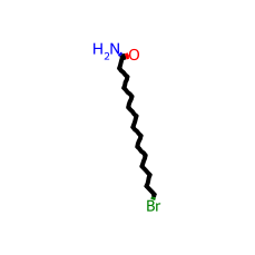 NC(=O)CCCCCCCCCCCCCCBr